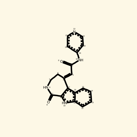 O=C(C=C1CCNC(=O)c2[nH]c3ccccc3c21)Nc1ccncc1